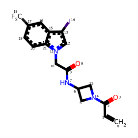 C=CC(=O)N1CC(NC(=O)Cn2cc(I)c3cc(C(F)(F)F)ccc32)C1